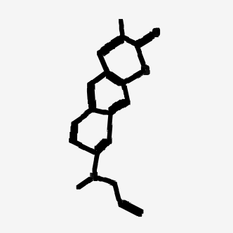 C=CCN(C)c1ccc2cc3cc(C)c(=O)oc3cc2c1